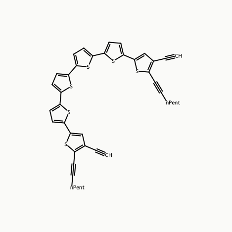 C#Cc1cc(-c2ccc(-c3ccc(-c4ccc(-c5ccc(-c6cc(C#C)c(C#CCCCCC)s6)s5)s4)s3)s2)sc1C#CCCCCC